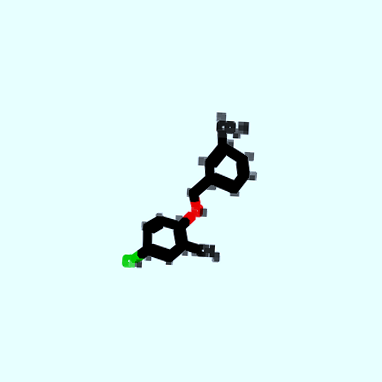 Cc1cc(Cl)ccc1OCc1cccc(C(=O)O)c1